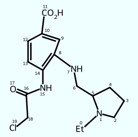 CCN1CCCC1CNc1cc(C(=O)O)ccc1NC(=O)CCl